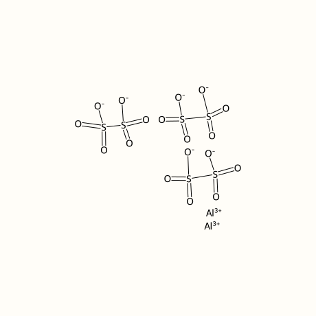 O=S(=O)([O-])S(=O)(=O)[O-].O=S(=O)([O-])S(=O)(=O)[O-].O=S(=O)([O-])S(=O)(=O)[O-].[Al+3].[Al+3]